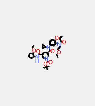 C=C1Oc2ccc(N(C(=O)[C@@H]3C[C@H](C(=O)N[C@H]4CCC[C@@H]4OCC)CN(C(=O)OC(C)(C)C)C3)C3CC3)cc2N(CCOCC)C1=O